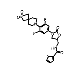 O=C(NC[C@H]1CN(c2cc(F)c(N3CCC4(CC3)CS(=O)(=O)C4)c(F)c2)C(=O)O1)c1cccs1